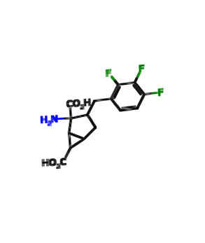 NC1(C(=O)O)C(Cc2ccc(F)c(F)c2F)CC2C(C(=O)O)C21